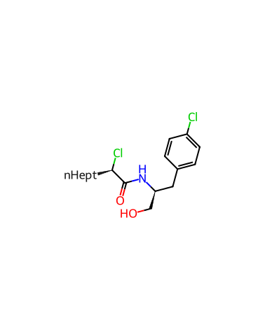 CCCCCCC[C@@H](Cl)C(=O)N[C@H](CO)Cc1ccc(Cl)cc1